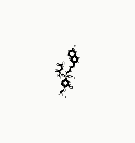 CCOc1ccc([N+](C)(C)CCCCc2ccc3cc(I)ccc3c2)cc1Cl.O=C([O-])CC(=O)O